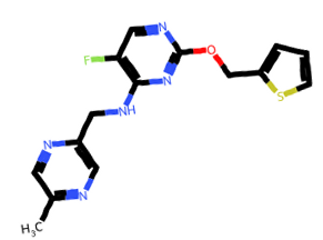 Cc1cnc(CNc2nc(OCc3cccs3)ncc2F)cn1